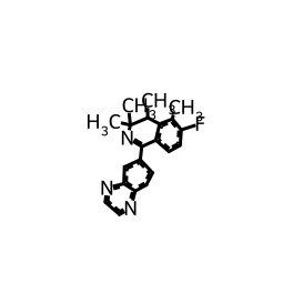 Cc1c(F)ccc2c1C(C)C(C)(C)N=C2c1ccc2nccnc2c1